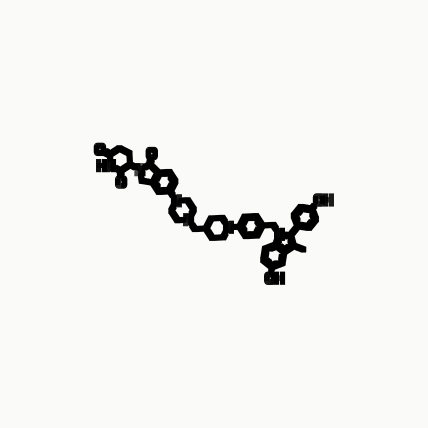 Cc1c(-c2ccc(O)cc2)n(Cc2ccc(N3CCC(CN4CCN(c5ccc6c(c5)CN(C5CCC(=O)NC5=O)C6=O)CC4)CC3)cc2)c2ccc(O)cc12